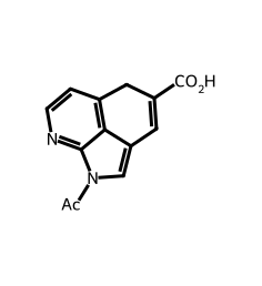 CC(=O)n1cc2c3c(ccnc31)CC(C(=O)O)=C2